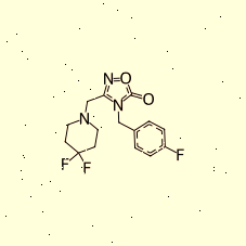 O=c1onc(CN2CCC(F)(F)CC2)n1Cc1ccc(F)cc1